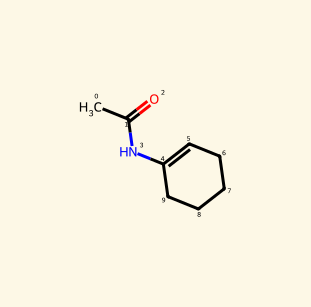 CC(=O)NC1=CCCCC1